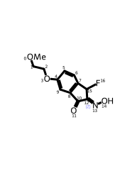 COCCOc1ccc2c(c1)C(=O)/C(=N/O)C2F